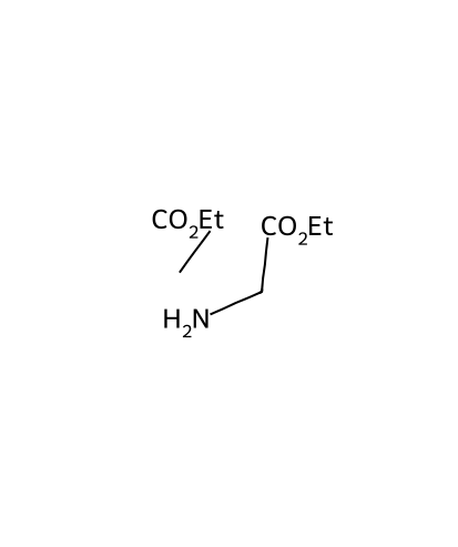 CCOC(=O)CN.CCOC(C)=O